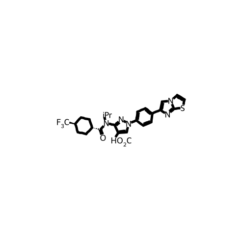 CC(C)N(c1nn(-c2ccc(-c3cn4ccsc4n3)cc2)cc1C(=O)O)C(=O)[C@H]1CC[C@H](C(F)(F)F)CC1